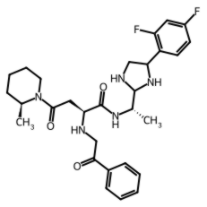 C[C@H](NC(=O)[C@H](CC(=O)N1CCCC[C@@H]1C)NCC(=O)c1ccccc1)C1NCC(c2ccc(F)cc2F)N1